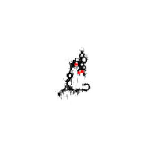 CCC(=O)OC1(C(=O)SCF)C(C)CC2C3CC(F)C4=CC(=O)C=CC4(C)C3(F)C(OP(=O)(O)OP(=O)(O)OCc3ccc(NC(=O)[C@H](CCCNC(N)=O)NC(=O)[C@@H](NC(=O)COC4C#CCCCCC4)C(C)C)cc3)CC21C